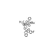 C[C@@H](COCc1ccccc1)O[C@H]1CO[C@@H](C(=O)N2CCc3ccccc3[C@@H]2c2ccc(F)cc2)C[C@@H]1NC(=O)OC(C)(C)C